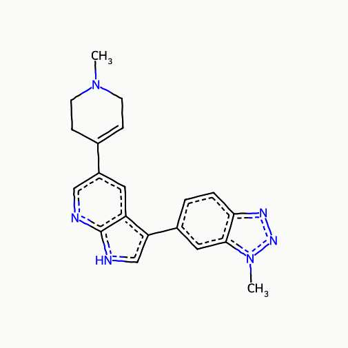 CN1CC=C(c2cnc3[nH]cc(-c4ccc5nnn(C)c5c4)c3c2)CC1